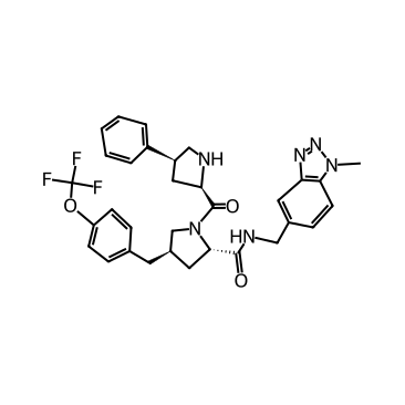 Cn1nnc2cc(CNC(=O)[C@@H]3C[C@@H](Cc4ccc(OC(F)(F)F)cc4)CN3C(=O)[C@H]3C[C@@H](c4ccccc4)CN3)ccc21